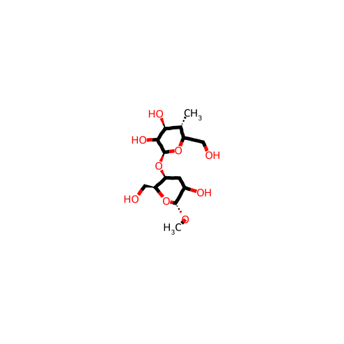 CO[C@@H]1O[C@@H](CO)[C@@H](O[C@@H]2OC(CO)[C@@H](C)[C@H](O)C2O)CC1O